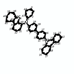 c1ccc(N(c2ccc(-c3ccc(-n4c5ccccc5c5ccccc54)cc3)cc2)c2cccc3c2sc2ccccc23)cc1